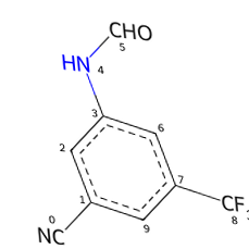 N#Cc1cc(NC=O)cc(C(F)(F)F)c1